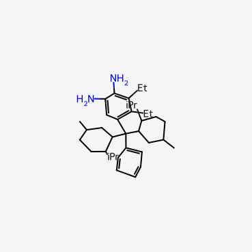 CCc1c(C(c2ccccc2)(C2CC(C)CCC2C(C)C)C2CC(C)CCC2C(C)C)cc(N)c(N)c1CC